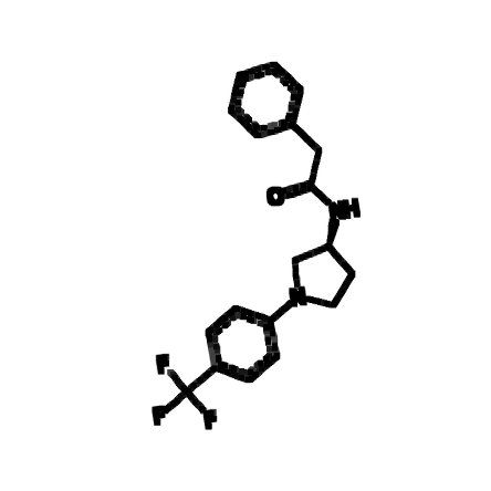 O=C(Cc1ccccc1)N[C@H]1CCN(c2ccc(C(F)(F)F)cc2)C1